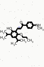 CCCOc1c(C(C)C)cc(C(C)C)c(O)c1/C=C/C(=O)c1ccc(NC)cc1